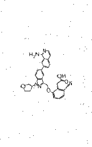 N#Cc1cccc(OCc2nn(C3CCOC3)c3ccc(-c4ccc5ccnc(N)c5c4)cc23)c1CC(=O)O